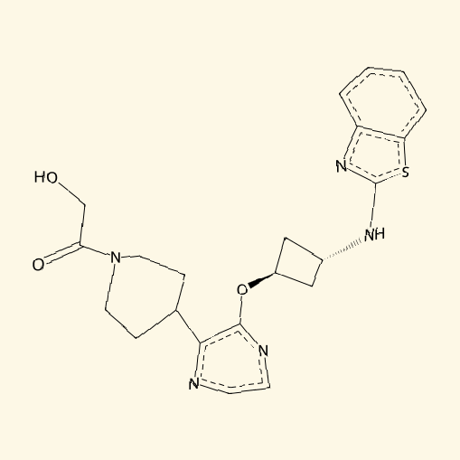 O=C(CO)N1CCC(c2nccnc2O[C@H]2C[C@H](Nc3nc4ccccc4s3)C2)CC1